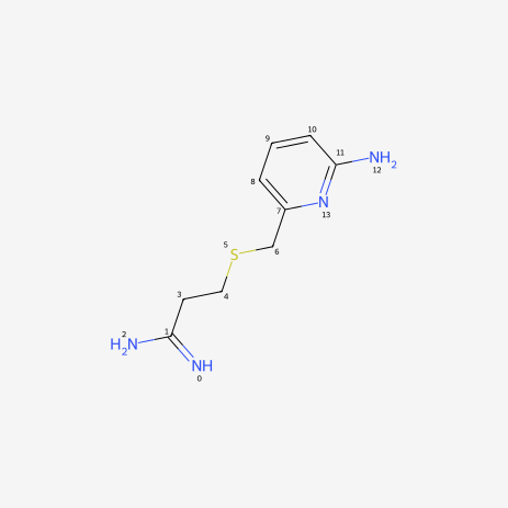 N=C(N)CCSCc1cccc(N)n1